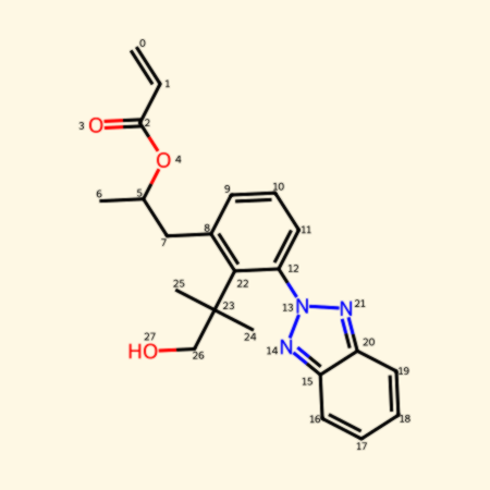 C=CC(=O)OC(C)Cc1cccc(-n2nc3ccccc3n2)c1C(C)(C)CO